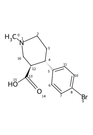 CN1CC[C@H](c2ccc(Br)cc2)[C@@H](C(=O)O)C1